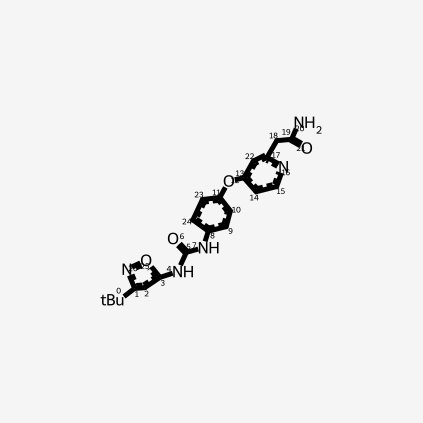 CC(C)(C)c1cc(NC(=O)Nc2ccc(Oc3ccnc(CC(N)=O)c3)cc2)on1